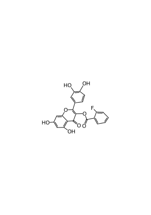 O=C(Oc1c(-c2ccc(O)c(O)c2)oc2cc(O)cc(O)c2c1=O)c1ccccc1F